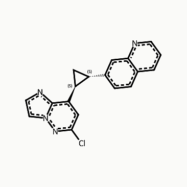 Clc1cc([C@H]2C[C@@H]2c2ccc3cccnc3c2)c2nccn2n1